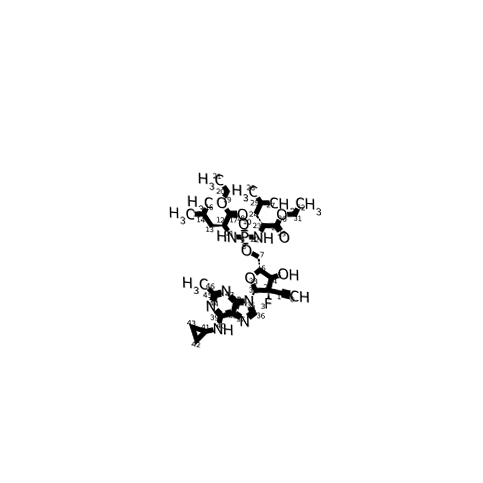 C#C[C@]1(F)C(O)[C@@H](COP(=O)(N[C@@H](CC(C)C)C(=O)OCC)N[C@H](CC(C)C)C(=O)OCC)O[C@H]1n1cnc2c(NC3CC3)nc(C)nc21